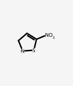 O=[N+]([O-])C1=CC[N]S1